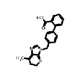 CC1=c2ncn(Cc3ccc(-c4ccccc4C(=O)O)cc3)c2=NCC1